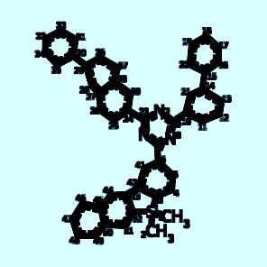 C[Si]1(C)c2ccc(-c3nc(-c4cccc(-c5ccccc5)c4)nc(-c4ccc5cc(-c6ccccc6)ccc5c4)n3)cc2-c2cc3ccccc3cc21